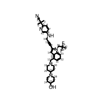 CC(C)(C#N)c1ccc(NCC#Cc2cc3c(CN4CCC(N5CCC(O)CC5)CC4)cccc3n2CC(F)(F)F)cn1